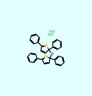 C1=C[C]([Zr][C]2(c3ccccc3)C=CC(c3ccccc3)=P2)(c2ccccc2)P=C1c1ccccc1.Cl.Cl